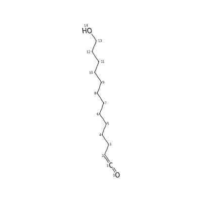 O=C=CCCCCCCCCCCCO